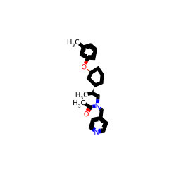 CC(=O)N(Cc1ccncc1)CC(C)[C@H]1CCC[C@@H](Oc2cccc(C)c2)C1